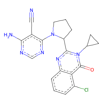 N#Cc1c(N)ncnc1N1CCCC1c1nc2cccc(Cl)c2c(=O)n1C1CC1